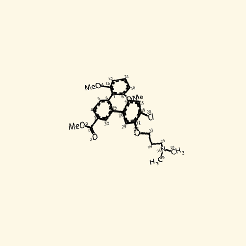 COC(=O)c1ccc(-c2c(OC)cccc2OC)c(-c2ccc(Cl)c(OCCCN(C)C)c2)c1